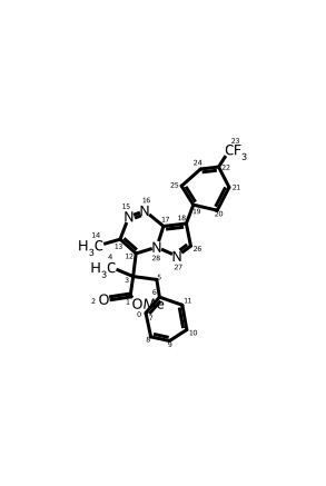 COC(=O)C(C)(Cc1ccccc1)c1c(C)nnc2c(-c3ccc(C(F)(F)F)cc3)cnn12